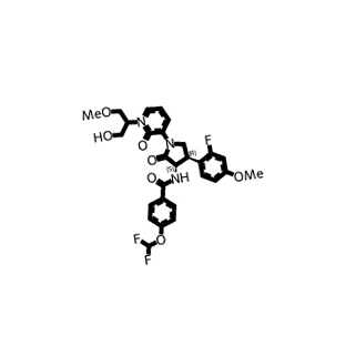 COCC(CO)n1cccc(N2C[C@@H](c3ccc(OC)cc3F)[C@H](NC(=O)c3ccc(OC(F)F)cc3)C2=O)c1=O